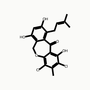 CC(C)=CCc1c(O)cc(O)c2c1C(=O)c1c(O)c(Cl)c(C)c(Cl)c1OC2